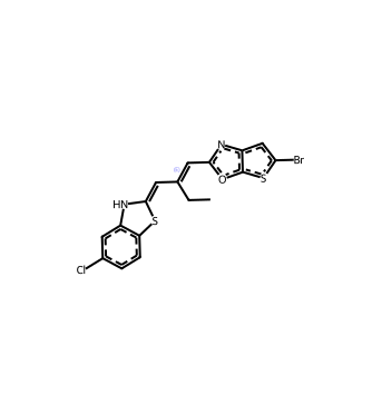 CC/C(C=C1Nc2cc(Cl)ccc2S1)=C\c1nc2cc(Br)sc2o1